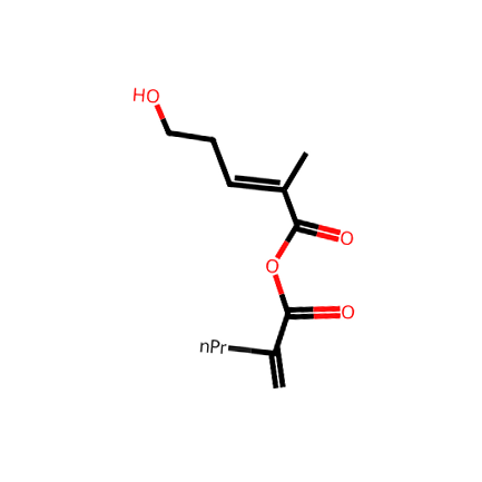 C=C(CCC)C(=O)OC(=O)C(C)=CCCO